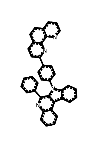 c1ccc(-c2nc3ccccc3c3c4ccccc4n(-c4ccc(-c5ccc6ccc7cccnc7c6n5)cc4)c23)cc1